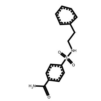 NC(=O)c1ccc(S(=O)(=O)NC[CH]c2ccccc2)cc1